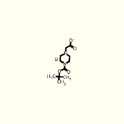 CC(C)(C)OC(=O)N1CCN(CC(=O)[O-])CC1.[Li+]